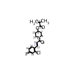 C=C(C)C(=O)OC1CCN(C(=O)/C=C/c2ccc(F)cc2Cl)CC1